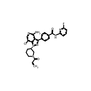 C=CC(=O)N1CCC[C@@H](n2nc(-c3ccc(C(=O)Nc4cccc(F)n4)cc3)c3c(N)ncc(Cl)c32)C1